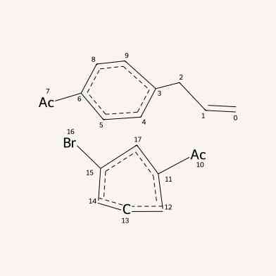 C=CCc1ccc(C(C)=O)cc1.CC(=O)c1cccc(Br)c1